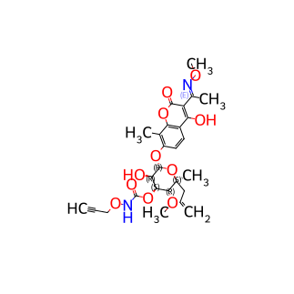 C#CCONC(=O)O[C@H]1[C@@H](O)[C@H](Oc2ccc3c(O)c(/C(C)=N/OC)c(=O)oc3c2C)O[C@@](C)(CC=C)[C@@H]1OC